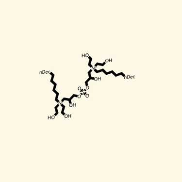 CCCCCCCCCCCCCCCC[N+](CCO)(CCO)CC(O)COS(=O)(=O)OCC(O)C[N+](CCO)(CCO)CCCCCCCCCCCCCCCC